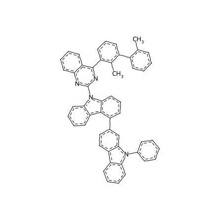 Cc1ccccc1-c1cccc(-c2nc(-n3c4ccccc4c4c(-c5ccc6c7ccccc7n(-c7ccccc7)c6c5)cccc43)nc3ccccc23)c1C